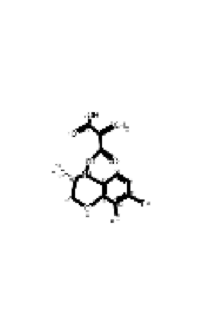 C=C(C(=O)O)C(=O)ON1c2ccc(F)c(F)c2OC[C@@H]1C